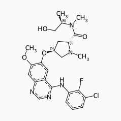 COc1cc2ncnc(Nc3cccc(Cl)c3F)c2cc1O[C@H]1C[C@H](C(=O)N(C)[C@H](C)CO)N(C)C1